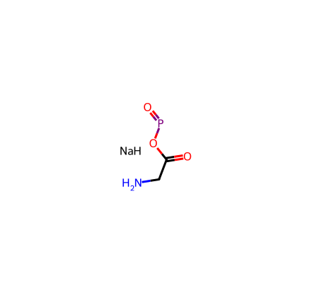 NCC(=O)OP=O.[NaH]